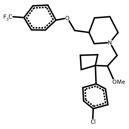 COC(CN1CCCC(COc2ccc(C(F)(F)F)cc2)C1)C1(c2ccc(Cl)cc2)CCC1